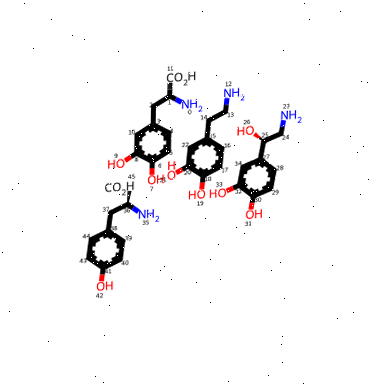 NC(Cc1ccc(O)c(O)c1)C(=O)O.NCCc1ccc(O)c(O)c1.NC[C@H](O)c1ccc(O)c(O)c1.N[C@@H](Cc1ccc(O)cc1)C(=O)O